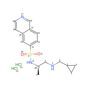 C[C@H](CNCC1CC1)NS(=O)(=O)c1ccc2cnccc2c1.Cl.Cl